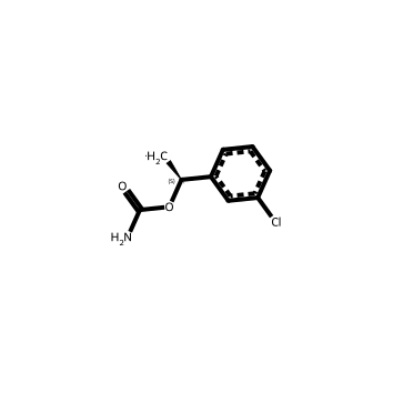 [CH2][C@H](OC(N)=O)c1cccc(Cl)c1